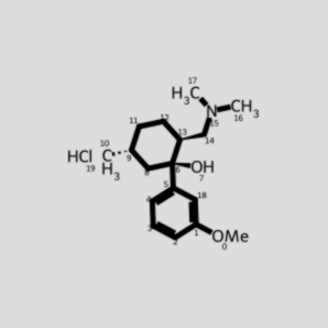 COc1cccc([C@]2(O)C[C@H](C)CC[C@H]2CN(C)C)c1.Cl